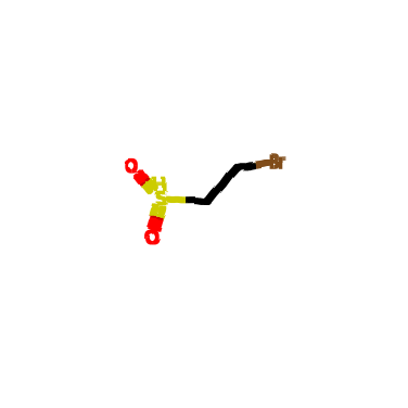 O=[SH](=O)CCBr